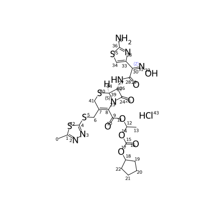 Cc1nnc(SCC2=C(C(=O)OC(C)OC(=O)OC3CCCC3)N3C(=O)[C@@H](NC(=O)/C(=N\O)c4csc(N)n4)[C@@H]3SC2)s1.Cl